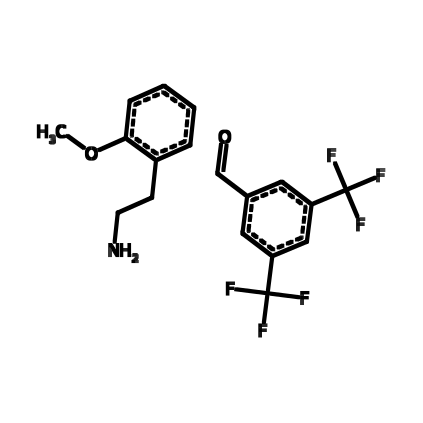 COc1ccccc1CCN.O=Cc1cc(C(F)(F)F)cc(C(F)(F)F)c1